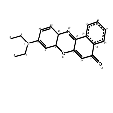 CCN(CC)C1=CC2OC3=CC(=O)c4ccccc4C3=NC2C=C1